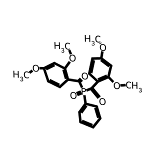 COc1ccc(C(=O)P(=O)(C(=O)c2ccc(OC)cc2OC)c2ccccc2)c(OC)c1